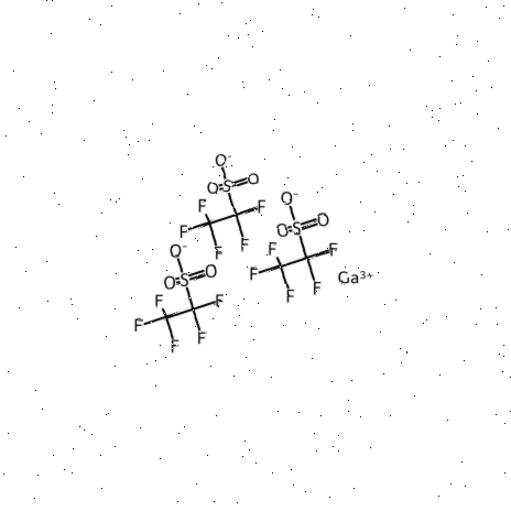 O=S(=O)([O-])C(F)(F)C(F)(F)F.O=S(=O)([O-])C(F)(F)C(F)(F)F.O=S(=O)([O-])C(F)(F)C(F)(F)F.[Ga+3]